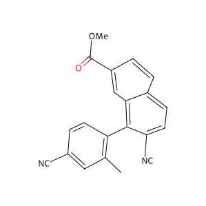 [C-]#[N+]c1ccc2ccc(C(=O)OC)cc2c1-c1ccc(C#N)cc1C